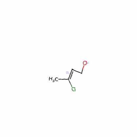 C/C(Cl)=C/C[O]